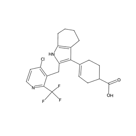 O=C(O)C1CC=C(c2c(Cc3c(Cl)ccnc3C(F)(F)F)[nH]c3c2CCCC3)CC1